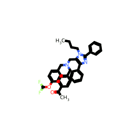 CCCCn1c(-c2ccccc2)nc(-c2ccccc2)c1CN(Cc1ccc(OC(F)F)cc1)Cc1ccc(C(C)=O)cc1